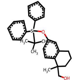 CC1(CO)CCCc2cc(O[Si](c3ccccc3)(c3ccccc3)C(C)(C)C)ccc21